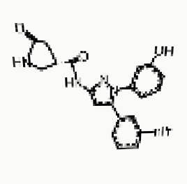 CCCc1cccc(-c2cc(NC(=O)[C@@H]3CNC(=O)C3)nn2-c2cccc(O)c2)c1